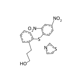 O=[N+]([O-])c1ccc(Sc2ccccc2CCCO)c([N+](=O)[O-])c1.c1cscn1